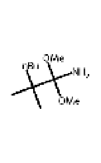 CCCCC(C)(C)C(N)(OC)OC